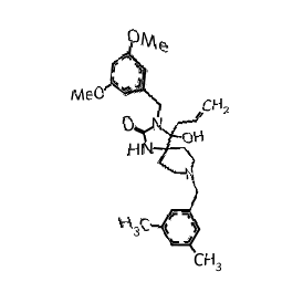 C=CCC1(O)N(Cc2cc(OC)cc(OC)c2)C(=O)NC12CCN(Cc1cc(C)cc(C)c1)CC2